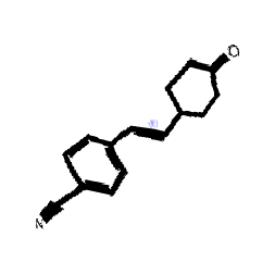 N#Cc1ccc(/C=C/C2CCC(=O)CC2)cc1